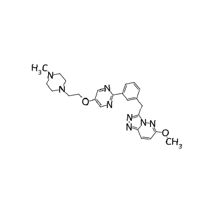 COc1ccc2nnc(Cc3cccc(-c4ncc(OCCN5CCN(C)CC5)cn4)c3)n2n1